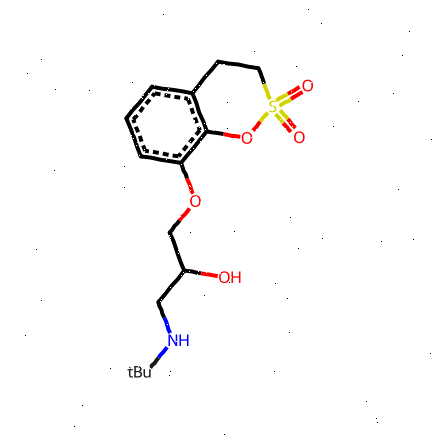 CC(C)(C)NCC(O)COc1cccc2c1OS(=O)(=O)CC2